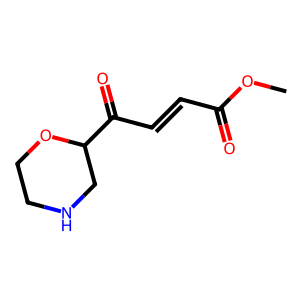 COC(=O)/C=C/C(=O)C1CNCCO1